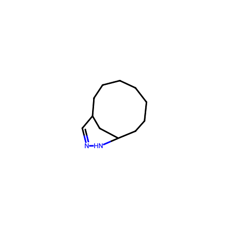 C1=NNC2CCCCCCCC1C2